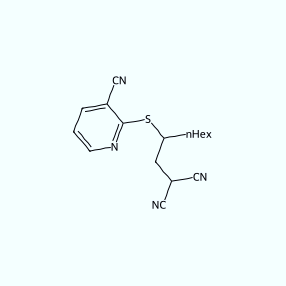 CCCCCCC(CC(C#N)C#N)Sc1ncccc1C#N